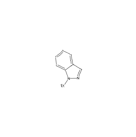 CCn1ncc2c[c]ccc21